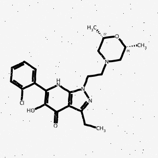 CCc1nn(CCN2C[C@@H](C)O[C@@H](C)C2)c2[nH]c(-c3ccccc3Cl)c(O)c(=O)c12